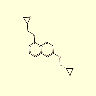 c1cc(OCC2CO2)c2ccc(OC[C@@H]3CO3)cc2c1